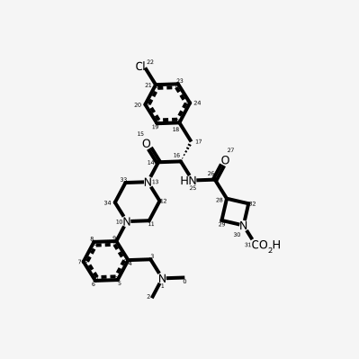 CN(C)Cc1ccccc1N1CCN(C(=O)[C@H](Cc2ccc(Cl)cc2)NC(=O)C2CN(C(=O)O)C2)CC1